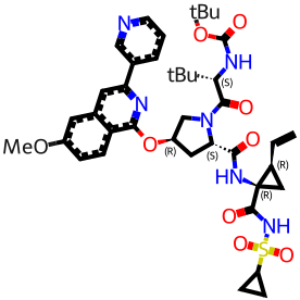 C=C[C@H]1C[C@]1(NC(=O)[C@@H]1C[C@@H](Oc2nc(-c3cccnc3)cc3cc(OC)ccc23)CN1C(=O)[C@@H](NC(=O)OC(C)(C)C)C(C)(C)C)C(=O)NS(=O)(=O)C1CC1